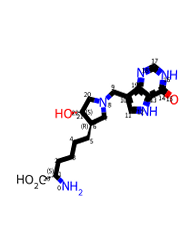 N[C@@H](CCCC[C@@H]1CN(Cc2c[nH]c3c(=O)[nH]cnc23)C[C@H]1O)C(=O)O